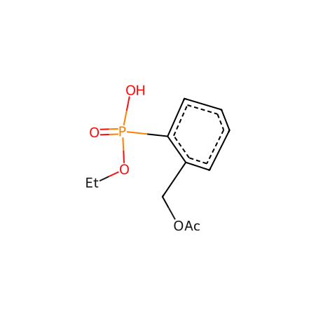 CCOP(=O)(O)c1ccccc1COC(C)=O